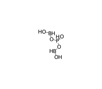 O=[PH](OBO)OBO